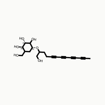 CC#CC#CC#CC#CCCC(CO)O[C@@H]1CC(CO)[C@@H](O)[C@H](O)C1O